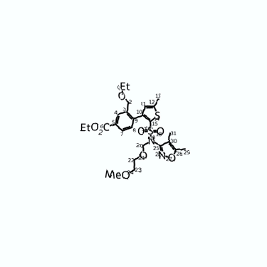 CCOCc1cc(C(=O)OCC)ccc1-c1cc(C)sc1S(=O)(=O)N(COCCOC)c1noc(C)c1C